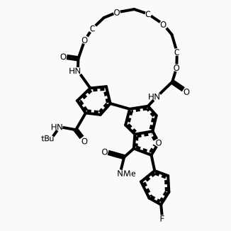 CNC(=O)c1c(-c2ccc(F)cc2)oc2cc3c(cc12)-c1cc(cc(C(=O)NC(C)(C)C)c1)NC(=O)OCCOCCOCCOC(=O)N3